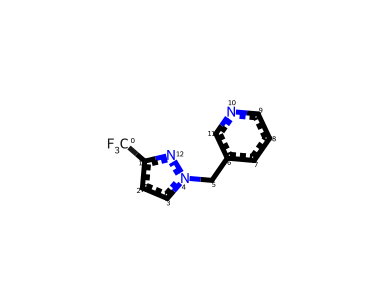 FC(F)(F)c1[c]cn(Cc2cccnc2)n1